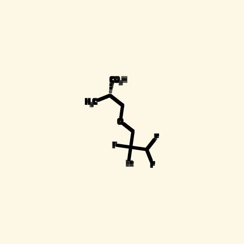 CCC(F)(COC[C@H](C)C(=O)O)C(F)F